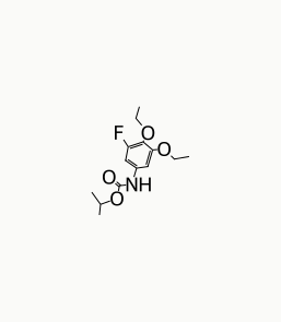 CCOc1cc(NC(=O)OC(C)C)cc(F)c1OCC